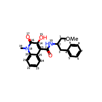 COCC(Cc1ccccc1)NC(=O)c1c(O)c(=O)n(C)c2ccccc12